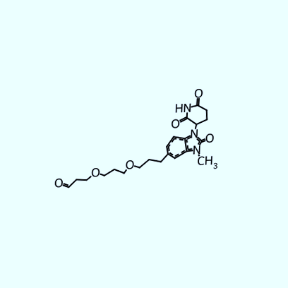 Cn1c(=O)n(C2CCC(=O)NC2=O)c2ccc(CCCOCCCOCCC=O)cc21